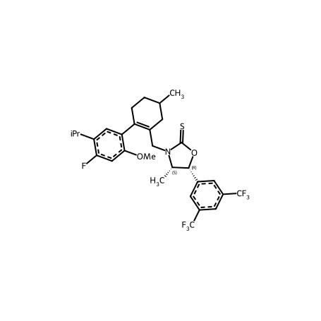 COc1cc(F)c(C(C)C)cc1C1=C(CN2C(=S)O[C@H](c3cc(C(F)(F)F)cc(C(F)(F)F)c3)[C@@H]2C)CC(C)CC1